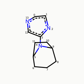 c1cnc(N2C3CCCC2CC3)cn1